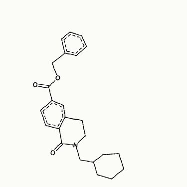 O=C(OCc1ccccc1)c1ccc2c(c1)CCN(CC1CCCCC1)C2=O